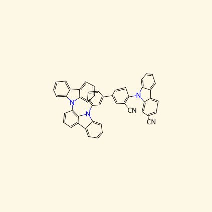 N#Cc1ccc2c3ccccc3n(-c3ccc(-c4cccc(-n5c6ccccc6c6cccc(-n7c8ccccc8c8ccccc87)c65)c4)cc3C#N)c2c1